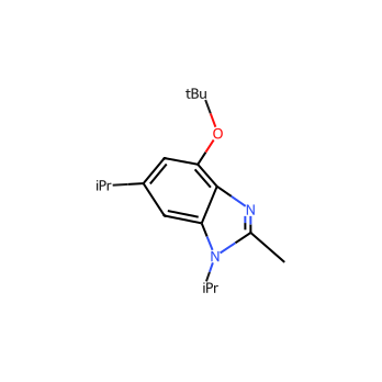 Cc1nc2c(OC(C)(C)C)cc(C(C)C)cc2n1C(C)C